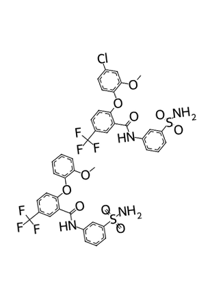 COc1cc(Cl)ccc1Oc1ccc(C(F)(F)F)cc1C(=O)Nc1cccc(S(N)(=O)=O)c1.COc1ccccc1Oc1ccc(C(F)(F)F)cc1C(=O)Nc1cccc(S(N)(=O)=O)c1